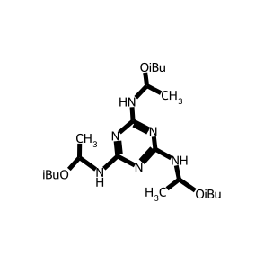 CC(C)COC(C)Nc1nc(NC(C)OCC(C)C)nc(NC(C)OCC(C)C)n1